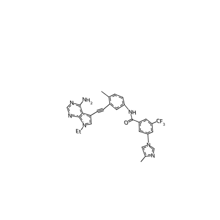 CCn1cc(C#Cc2cc(NC(=O)c3cc(-n4cnc(C)c4)cc(C(F)(F)F)c3)ccc2C)c2c(N)ncnc21